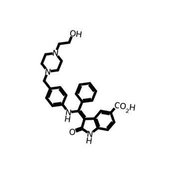 O=C1Nc2ccc(C(=O)O)cc2C1=C(Nc1ccc(CN2CCN(CCO)CC2)cc1)c1ccccc1